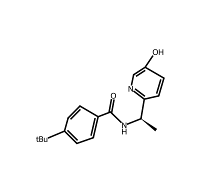 C[C@@H](NC(=O)c1ccc(C(C)(C)C)cc1)c1ccc(O)cn1